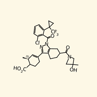 C[C@H]1C=C(c2nn(C(=O)c3c(Cl)cccc3C3(C(F)(F)F)CC3)c3c2CCC(C(=O)N2CC(C)(O)C2)C3)CCC1C(=O)O